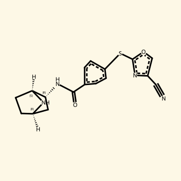 N#Cc1coc(Sc2ccc(C(=O)N[C@@H]3C[C@H]4CC[C@@H]3N4)cc2)n1